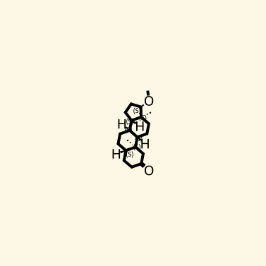 CO[C@H]1CC[C@H]2[C@@H]3CC[C@H]4CCC(=O)C[C@]4(C)[C@H]3CC[C@]12C